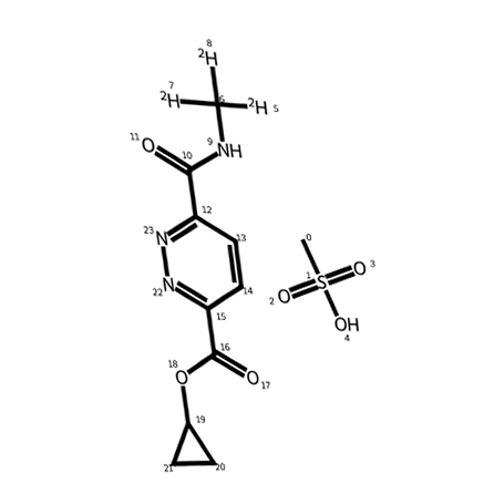 CS(=O)(=O)O.[2H]C([2H])([2H])NC(=O)c1ccc(C(=O)OC2CC2)nn1